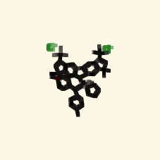 Cc1ccc([C](c2ccc(C)cc2)=[Zr+2]([C]2=CC=CC2)[CH]2c3cc4c(cc3-c3cc5c(cc32)C(C)(C)C=C5C(C)(C)C)C(C(C)(C)C)=CC4(C)C)cc1.[Cl-].[Cl-]